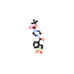 CC(C)(C)OC(=O)N1CCN(C(=O)c2cccc3c2C=CS3(=O)=O)CC1